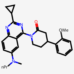 CCCN(C)c1ccc2nc(C3CC3)nc(N3CCC(c4ccccc4OC)CC3=O)c2c1